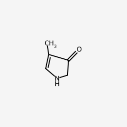 CC1=CNCC1=O